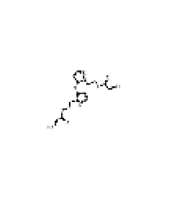 C=CC(=O)OCCc1sccc1Sc1ccsc1CCOC(=O)C=C